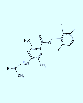 CCN(C)/C=N/c1cc(C)c(C(=O)OCc2c(F)ccc(F)c2F)cc1C